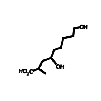 CC(CC(O)CCCCCO)C(=O)O